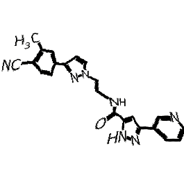 Cc1cc(-c2ccn(CCNC(=O)c3cc(-c4cccnc4)n[nH]3)n2)ccc1C#N